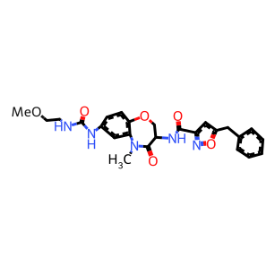 COCCNC(=O)Nc1ccc2c(c1)N(C)C(=O)C(NC(=O)c1cc(Cc3ccccc3)on1)CO2